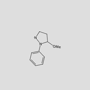 COC1CC[N]N1c1ccccc1